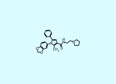 Cc1c(C(=O)NCCN2CCCC2)cc(-c2ccccc2)n1-c1ccc2c(c1)OCO2